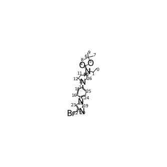 CCN(C(=O)OC(C)(C)C)[C@@H]1CCN(c2ccc(-n3cnc(Br)c3)cc2)C1